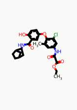 CCOC(=O)C(=O)Nc1cc(C)c(Oc2ccc(O)c(C(=O)NC3CC4CCC3C4)c2)c(Cl)c1